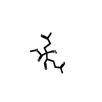 COC(=O)C(N)(CCC(C)=S)C(C=O)CCC(C)=S